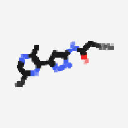 CCCc1cnc(C)c(-c2cc(NC(=O)CC(=O)OCC)[nH]n2)n1